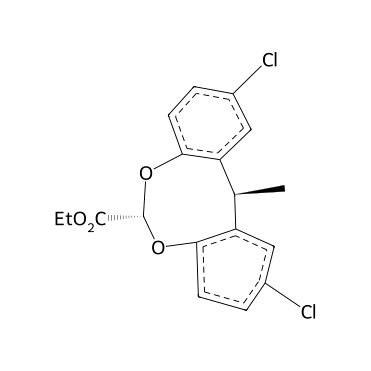 CCOC(=O)[C@H]1Oc2ccc(Cl)cc2[C@H](C)c2cc(Cl)ccc2O1